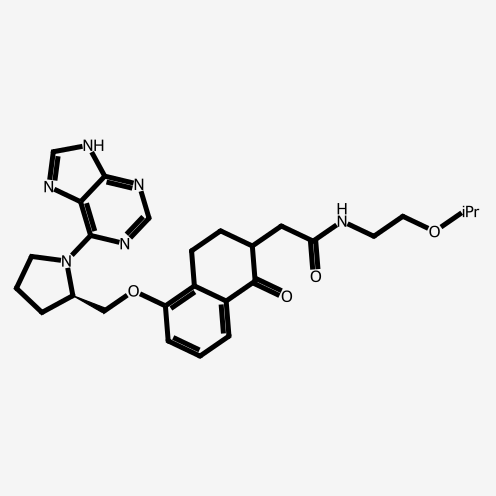 CC(C)OCCNC(=O)CC1CCc2c(OC[C@H]3CCCN3c3ncnc4[nH]cnc34)cccc2C1=O